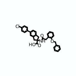 O=C(Cc1ccccc1OCc1ccccc1)NC1(C(=O)O)Cc2ccc(-c3ccc(Cl)cc3)cc2C1